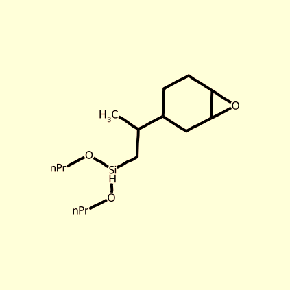 CCCO[SiH](CC(C)C1CCC2OC2C1)OCCC